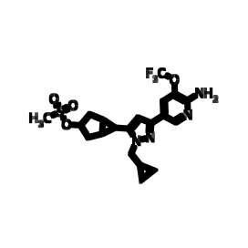 CS(=O)(=O)OC1CC2C(C1)C2c1cc(-c2cnc(N)c(OC(F)(F)F)c2)nn1CC1CC1